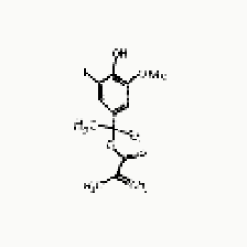 C=C(C)C(=O)OC(C)(CC)c1cc(I)c(O)c(OC)c1